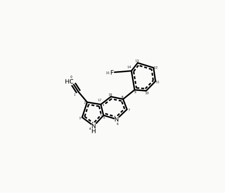 C#Cc1c[nH]c2ncc(-c3ccccc3F)cc12